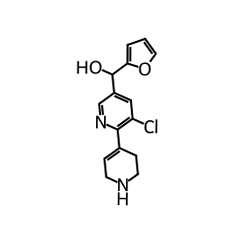 OC(c1cnc(C2=CCNCC2)c(Cl)c1)c1ccco1